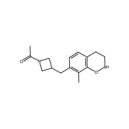 CC(=O)N1CC(Cc2ccc3c(c2C)OBCC3)C1